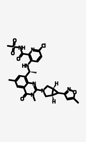 Cc1cc([C@@H](C)Nc2ccc(Cl)nc2C(=O)NS(C)(=O)=O)c2nc(N3C[C@@H]4C(c5cc(C)on5)[C@@H]4C3)n(C)c(=O)c2c1